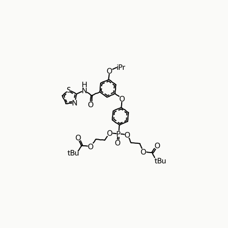 CC(C)Oc1cc(Oc2ccc(P(=O)(OCCOC(=O)C(C)(C)C)OCCOC(=O)C(C)(C)C)cc2)cc(C(=O)Nc2nccs2)c1